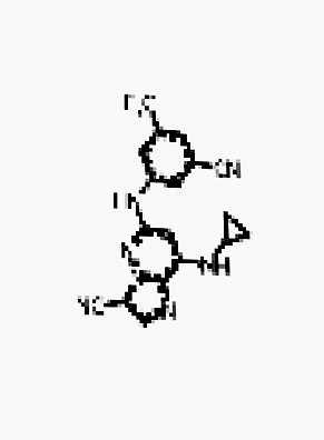 N#Cc1cc(Nc2cc(NC3CC3)c3ncc(C#N)n3n2)cc(C(F)(F)F)c1